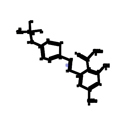 COC(=O)c1c(O)cc(OC)cc1/C=C/c1ccc(O[Si](C)(C)C(C)(C)C)cc1